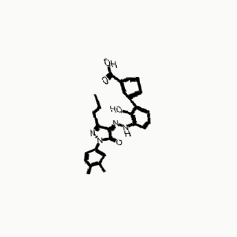 CCCC1=NN(c2ccc(C)c(C)c2)C(=O)C1=NNc1cccc(-c2cccc(C(=O)O)c2)c1O